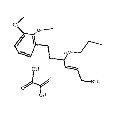 CCCNC(C=CCN)CCc1cccc(OC)c1OC.O=C(O)C(=O)O